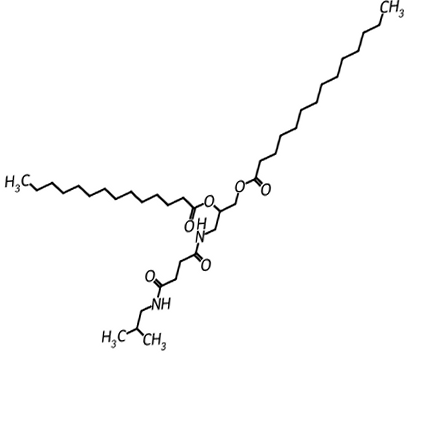 CCCCCCCCCCCCCC(=O)OCC(CNC(=O)CCC(=O)NCC(C)C)OC(=O)CCCCCCCCCCCCC